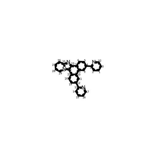 c1ccc(-c2ccc3c(c2)c2cc(-c4ccccn4)ccc2c2c3nc3ccccn32)nc1